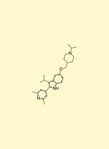 Cc1cc(-c2[nH]c3ccc(OCC4CCN(C(C)C)CC4)cc3c2C(C)C)cc(C)n1